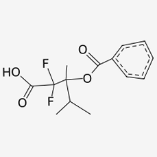 CC(C)C(C)(OC(=O)c1ccccc1)C(F)(F)C(=O)O